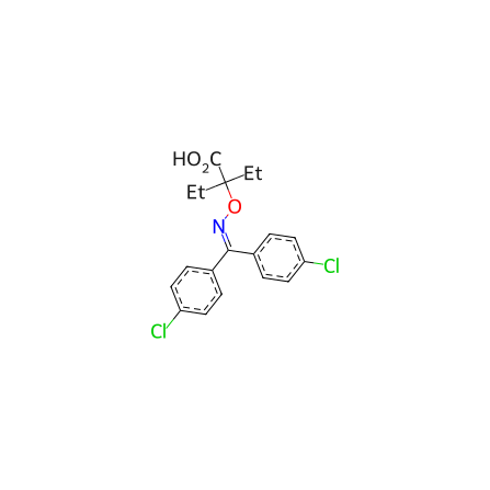 CCC(CC)(ON=C(c1ccc(Cl)cc1)c1ccc(Cl)cc1)C(=O)O